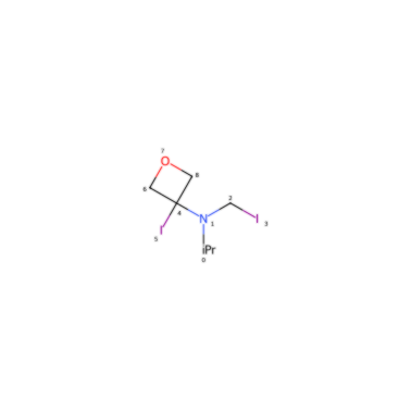 CC(C)N(CI)C1(I)COC1